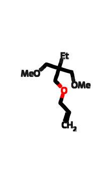 C=CCOCC(CC)(COC)COC